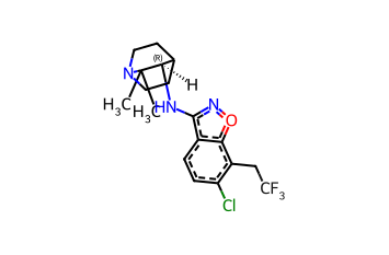 CC1(C)[C@H](Nc2noc3c(CC(F)(F)F)c(Cl)ccc23)C2CCN1CC2